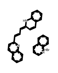 Br.C(=Cc1ccc2ccccc2n1)C=C1C=Cc2ccccc2N1.c1ccc2ncccc2c1